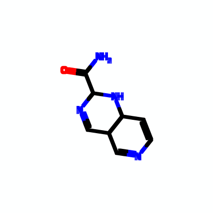 NC(=O)C1N=CC2C=NC=CC2N1